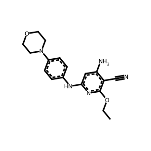 CCOc1nc(Nc2ccc(N3CCOCC3)cc2)cc(N)c1C#N